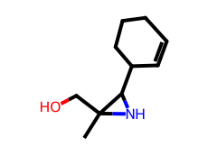 CC1(CO)NC1C1C=CCCC1